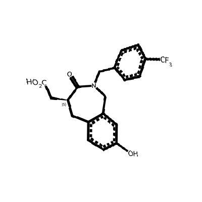 O=C(O)C[C@@H]1Cc2ccc(O)cc2CN(Cc2ccc(C(F)(F)F)cc2)C1=O